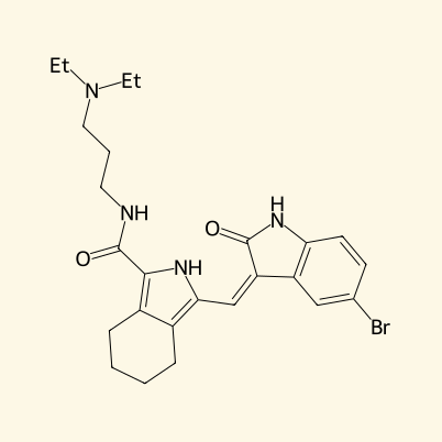 CCN(CC)CCCNC(=O)c1[nH]c(/C=C2\C(=O)Nc3ccc(Br)cc32)c2c1CCCC2